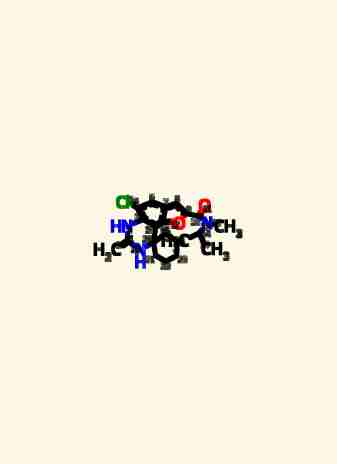 C=C1Nc2c(Cl)cc3cc(C(=O)N(C)C(C)C)oc3c2C2(CCCCC2)N1